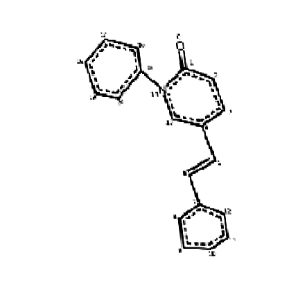 O=c1ccc(/C=C/c2ccccc2)cn1-c1ccccc1